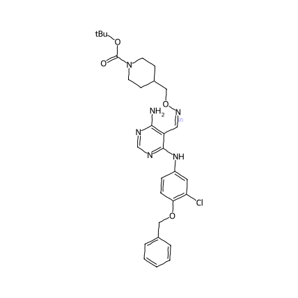 CC(C)(C)OC(=O)N1CCC(CO/N=C\c2c(N)ncnc2Nc2ccc(OCc3ccccc3)c(Cl)c2)CC1